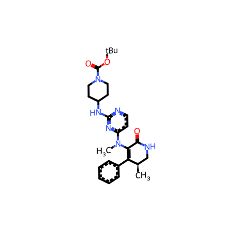 C[C@@H]1CNC(=O)C(N(C)c2ccnc(NC3CCN(C(=O)OC(C)(C)C)CC3)n2)=C1c1ccccc1